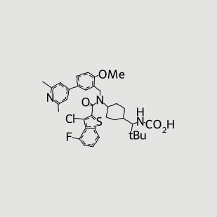 COc1ccc(-c2cc(C)nc(C)c2)cc1CN(C(=O)c1sc2cccc(F)c2c1Cl)C1CCC(C(NC(=O)O)C(C)(C)C)CC1